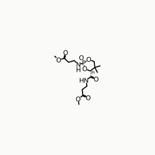 COC(=O)CCNC(=O)[C@@H]1OP(=O)(NCCC(=O)OC)OCC1(C)C